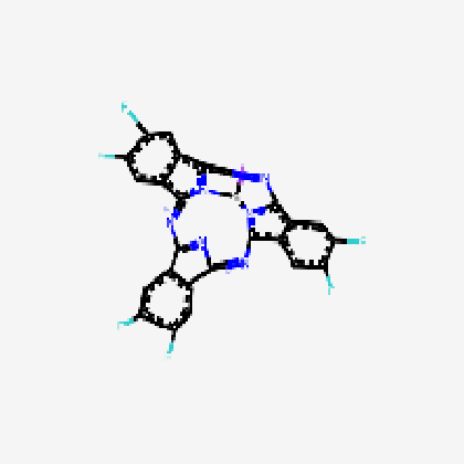 Fc1cc2c(cc1F)/C1=N/c3c4cc(F)c(F)cc4c4n3B(I)n3c(c5cc(F)c(F)cc5/c3=N/C2=N1)=N4